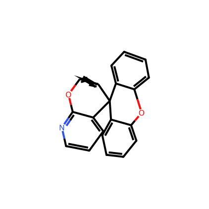 c1ccc2c(c1)Oc1ccccc1C21c2ccccc2Oc2ncccc21